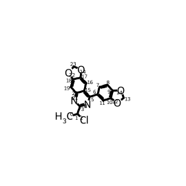 CC(Cl)c1nc(-c2ccc3c(c2)OCO3)c2cc3c(cc2n1)OCO3